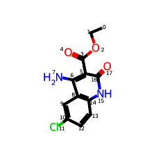 CCOC(=O)c1c(N)c2cc(Cl)ccc2[nH]c1=O